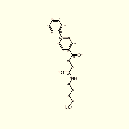 CCCCCNC(=O)CCC(=O)c1ccc(-c2ccccc2)cc1